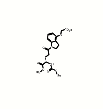 CC(C)(C)OC(=O)N[C@@H](CCC(=O)N1CCc2c(OCC(=O)O)cccc21)C(=O)OC(C)(C)C